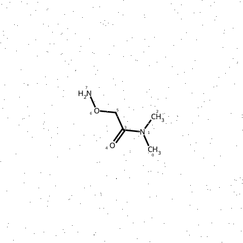 CN(C)C(=O)CON